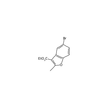 CCOC(=O)c1c(C)oc2ccc(Br)cc12